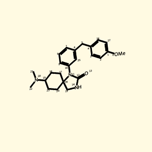 COc1ccc(Cc2cccc(N3C(=O)NCC34CCC(N(C)C)CC4)c2)cc1